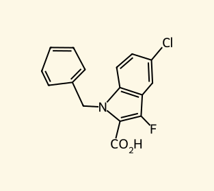 O=C(O)c1c(F)c2cc(Cl)ccc2n1Cc1ccccc1